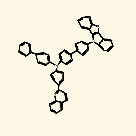 c1ccc(-c2ccc(N(c3ccc(-c4ccc(-n5c6ccccc6c6sc7ccccc7c65)cc4)cc3)c3ccc(-c4ccc5ccccc5n4)cc3)cc2)cc1